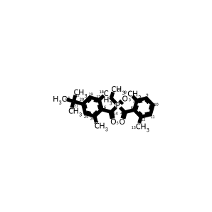 CCP(=O)(C(=O)c1c(C)cccc1C)C(=O)c1c(C)cc(C(C)(C)C)cc1C